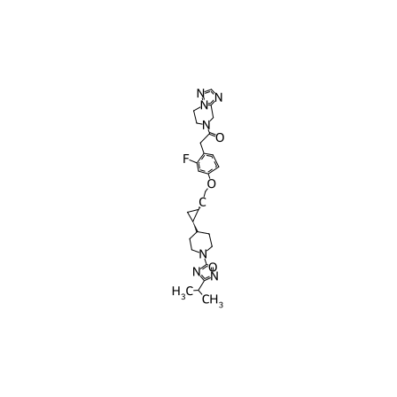 CC(C)c1noc(N2CCC([C@H]3C[C@H]3CCOc3ccc(CC(=O)N4CCn5ncnc5C4)c(F)c3)CC2)n1